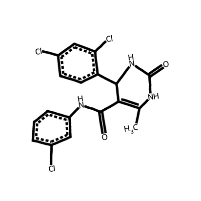 CC1=C(C(=O)Nc2cccc(Cl)c2)C(c2ccc(Cl)cc2Cl)NC(=O)N1